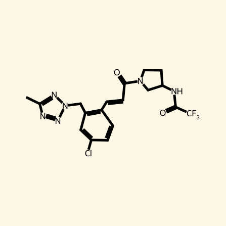 Cc1nnn(Cc2cc(Cl)ccc2/C=C/C(=O)N2CCC(NC(=O)C(F)(F)F)C2)n1